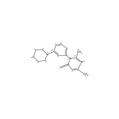 Cc1cc(=O)n(-c2cccc(N3CCOCC3)c2)c(C)n1